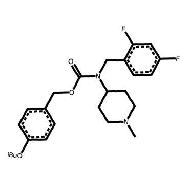 CC(C)COc1ccc(COC(=O)N(Cc2ccc(F)cc2F)C2CCN(C)CC2)cc1